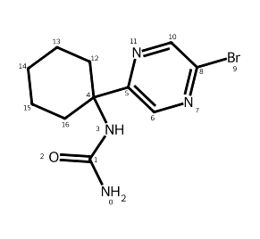 NC(=O)NC1(c2cnc(Br)cn2)CCCCC1